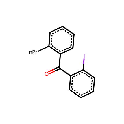 CCCc1ccccc1C(=O)c1ccccc1I